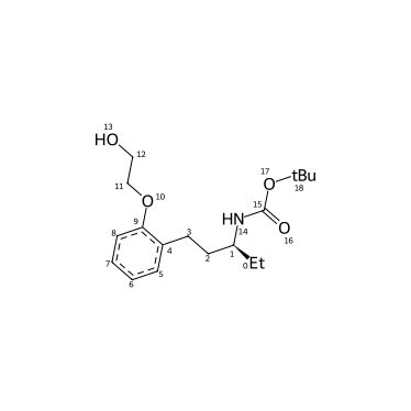 CC[C@@H](CCc1ccccc1OCCO)NC(=O)OC(C)(C)C